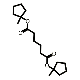 CC1(OC(=O)CCCCC(=O)OC2(C)CCCC2)CCCC1